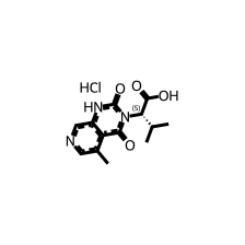 Cc1cncc2[nH]c(=O)n([C@H](C(=O)O)C(C)C)c(=O)c12.Cl